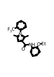 CCOc1ccccc1NC(=O)c1cc(C)n(-c2ccccc2C(F)(F)F)c1C